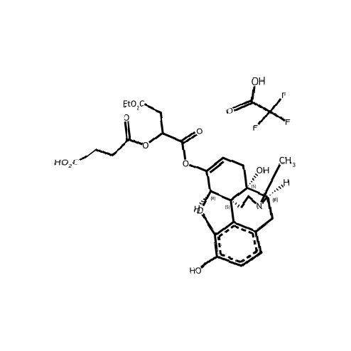 CCOC(=O)CC(OC(=O)CCC(=O)O)C(=O)OC1=CC[C@@]2(O)[C@H]3Cc4ccc(O)c5c4[C@@]2(CCN3C)[C@H]1O5.O=C(O)C(F)(F)F